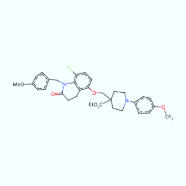 CCOC(=O)C1(COc2ccc(F)c3c2CCC(=O)N3Cc2ccc(OC)cc2)CCN(c2ccc(OC(F)(F)F)cc2)CC1